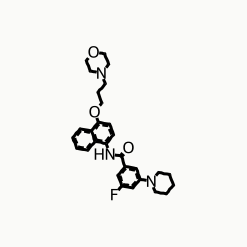 O=C(Nc1ccc(OCCCN2CCOCC2)c2ccccc12)c1cc(F)cc(N2CCCCC2)c1